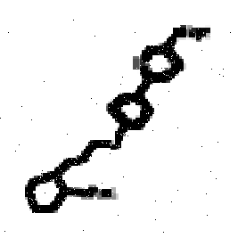 CCCCCCCc1ccc(-c2ccc(OCCCC3CCCCC3CCCCC)cc2)nc1